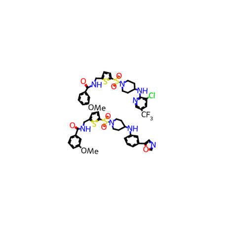 COc1cccc(C(=O)NCc2ccc(S(=O)(=O)N3CCC(Nc4cccc(-c5cnco5)c4)CC3)s2)c1.COc1cccc(C(=O)NCc2ccc(S(=O)(=O)N3CCC(Nc4ncc(C(F)(F)F)cc4Cl)CC3)s2)c1